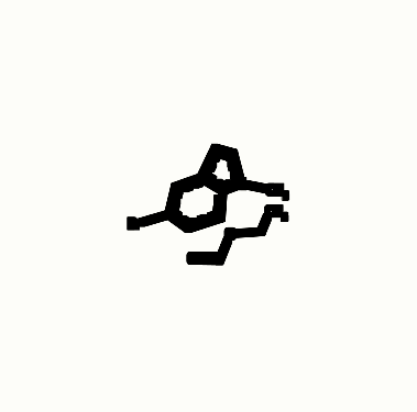 CCOC=O.Cn1ccc2cc(Br)ccc21